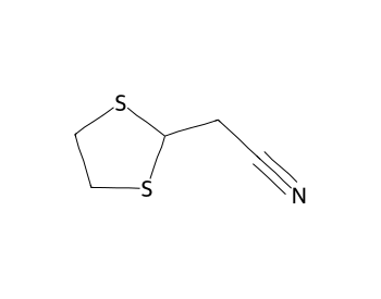 N#CCC1SCCS1